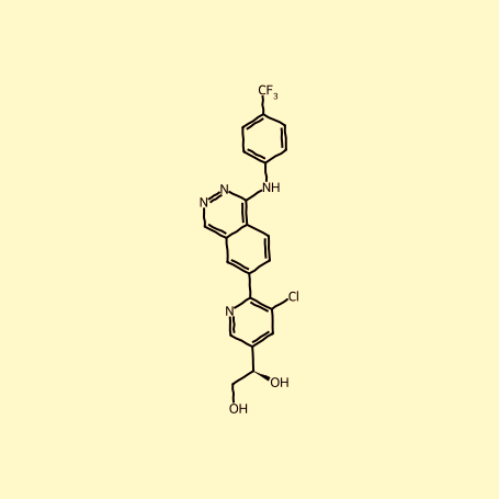 OC[C@H](O)c1cnc(-c2ccc3c(Nc4ccc(C(F)(F)F)cc4)nncc3c2)c(Cl)c1